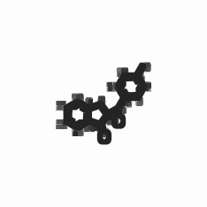 Cc1ccc(C2OC23Cc2ccccc2C3=O)cc1